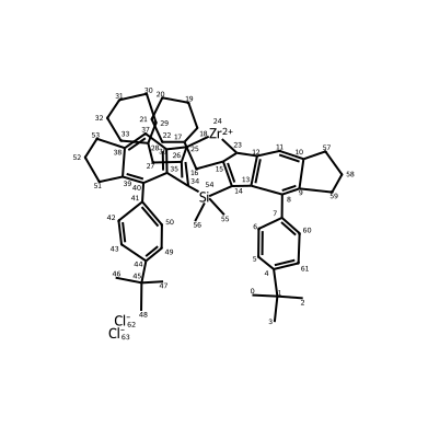 CC(C)(C)c1ccc(-c2c3c(cc4c2C2=C(CC5CCCCC5)[CH]4[Zr+2][CH]4C(CC5CCCCC5)=C(c5c4cc4c(c5-c5ccc(C(C)(C)C)cc5)CCC4)[Si]2(C)C)CCC3)cc1.[Cl-].[Cl-]